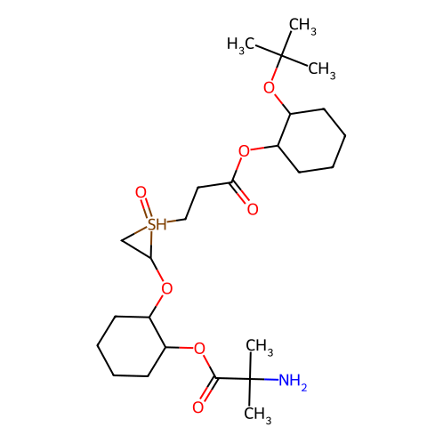 CC(C)(C)OC1CCCCC1OC(=O)CC[SH]1(=O)CC1OC1CCCCC1OC(=O)C(C)(C)N